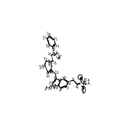 CCS(=O)(=O)CCc1ccc2[nH]cc(C[C@H]3CCCN3CC[S+]([O-])c3ccccc3)c2c1